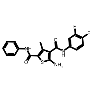 Cc1c(C(=O)Nc2ccccc2)sc(N)c1C(=O)Nc1ccc(F)c(F)c1